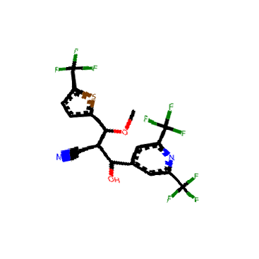 COC(c1ccc(C(F)(F)F)s1)C(C#N)C(O)c1cc(C(F)(F)F)nc(C(F)(F)F)c1